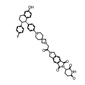 O=C1CC[C@@H](N2C(=O)c3cc4c(cc3C2=O)CN(C(=O)CN2CC3(CCN(c5ccc([C@@H]6c7ccc(O)cc7CC[C@@H]6c6ccc(F)cc6)cc5)CC3)C2)C4)C(=O)N1